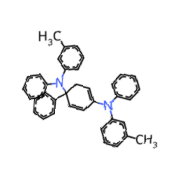 Cc1cccc(N(C2=CCC(c3ccccc3)(N(c3ccccc3)c3cccc(C)c3)C=C2)c2ccccc2)c1